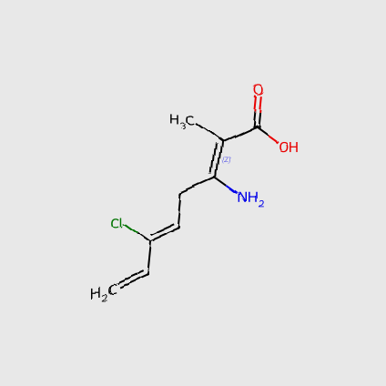 C=CC(Cl)=CC/C(N)=C(\C)C(=O)O